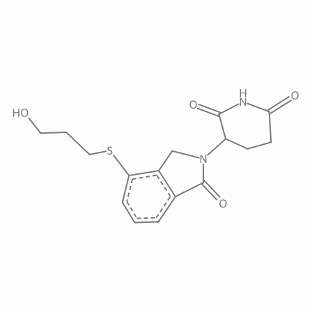 O=C1CCC(N2Cc3c(SCCCO)cccc3C2=O)C(=O)N1